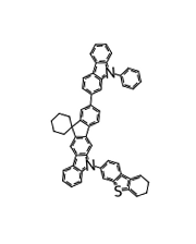 C1=c2sc3cc(-n4c5ccccc5c5cc6c(cc54)-c4ccc(-c5ccc7c8ccccc8n(-c8ccccc8)c7c5)cc4C64CCCCC4)ccc3c2=CCC1